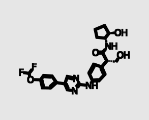 O=C(N[C@@H]1CCC[C@H]1O)[C@H](CO)c1ccc(Nc2ncc(-c3ccc(OC(F)F)cc3)cn2)cc1